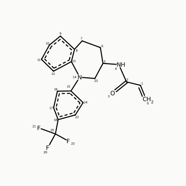 C=CC(=O)NC1CCc2ccccc2N(c2ccc(C(F)(F)F)cc2)C1